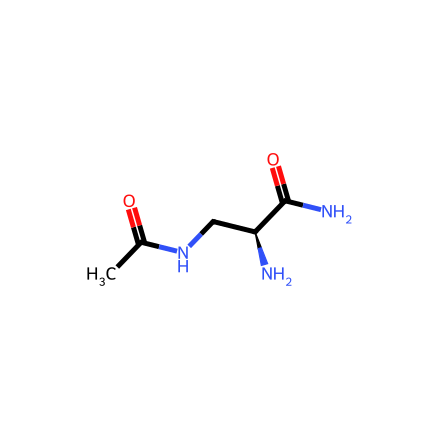 CC(=O)NC[C@H](N)C(N)=O